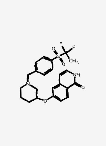 CC(F)(F)S(=O)(=O)c1ccc(CN2CCCC(Oc3ccc4c(=O)[nH]ccc4c3)C2)cc1